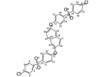 O=S(=O)(c1ccc(Cl)cc1)c1ccc(Oc2ccc3cc(Oc4ccc(S(=O)(=O)c5ccc(Cl)cc5)cc4)ccc3c2)cc1